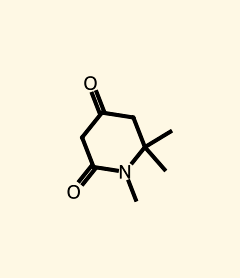 CN1C(=O)CC(=O)CC1(C)C